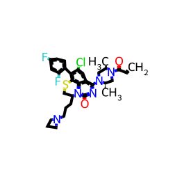 C=CC(=O)N1C[C@H](C)N(c2nc(=O)n3c4c(c(-c5ccc(F)cc5F)c(Cl)cc24)SCC3CCCN2CCC2)C[C@H]1C